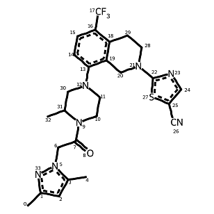 Cc1cc(C)n(CC(=O)N2CCN(c3ccc(C(F)(F)F)c4c3CN(c3ncc(C#N)s3)CC4)CC2C)n1